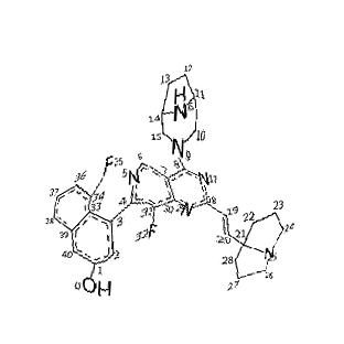 Oc1cc(-c2ncc3c(N4CC5CCC(C4)N5)nc(/C=C/C45CCCN4CCC5)nc3c2F)c2c(F)cccc2c1